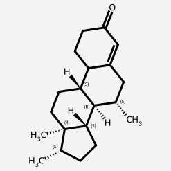 C[C@H]1CC2=CC(=O)CCC2[C@H]2CC[C@]3(C)[C@@H](C)CC[C@H]3[C@@H]21